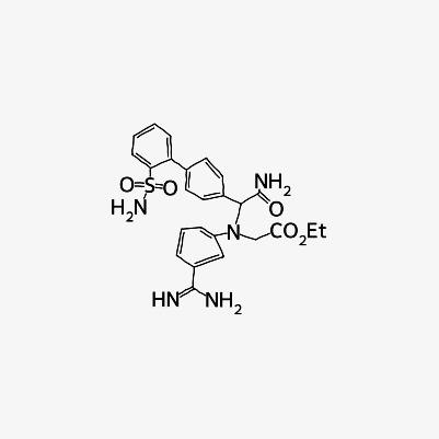 CCOC(=O)CN(c1cccc(C(=N)N)c1)C(C(N)=O)c1ccc(-c2ccccc2S(N)(=O)=O)cc1